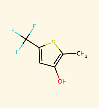 Cc1sc(C(F)(F)F)cc1O